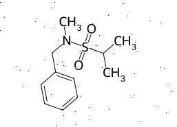 CC(C)S(=O)(=O)N(C)Cc1ccccc1